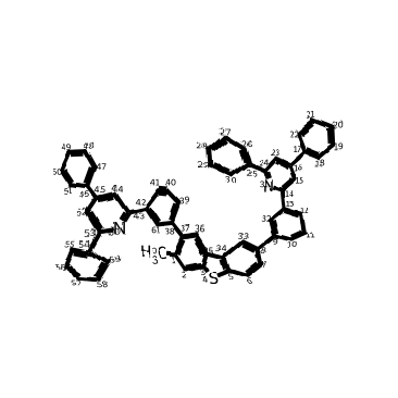 Cc1cc2sc3ccc(-c4cccc(-c5cc(-c6ccccc6)cc(-c6ccccc6)n5)c4)cc3c2cc1-c1cc#cc(-c2cc(-c3ccccc3)cc(-c3ccccc3)n2)c1